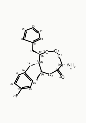 C[C@@H]1OC(=O)[C@@H](N)COC[C@H](Cc2ccccc2)[C@H]1Cc1ccc(F)cc1